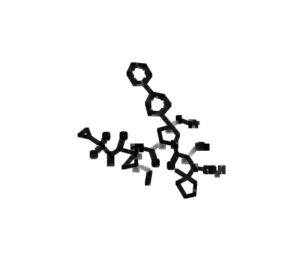 C=C[C@@H]1C[C@]1(NC(=O)[C@@H]1C[C@@](SC(C)C)(c2ccc(-c3ccccc3)cc2)CN1C(=O)[C@@H](N(C(=O)O)C1(C)CCCC1)C(C)(C)C)C(=O)NS(=O)(=O)C1CC1